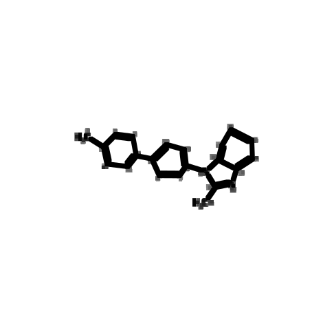 Cc1ccc(-c2ccc(-n3c(C)nc4ccccc43)cc2)cc1